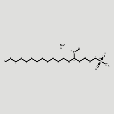 CCCCCCCCCCCCCC(CCCCS(=O)(=O)[O-])OC.[Na+]